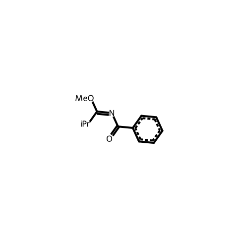 COC(=NC(=O)c1ccccc1)C(C)C